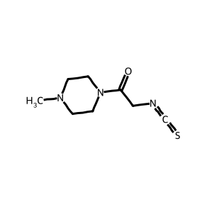 CN1CCN(C(=O)CN=C=S)CC1